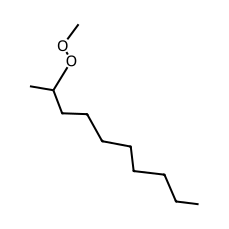 CCCCCCCCC(C)OOC